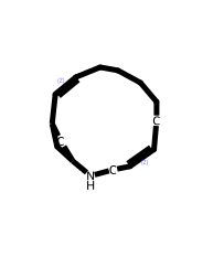 C1=C\CNC2CC(/C=C\CCCCC/1)C2